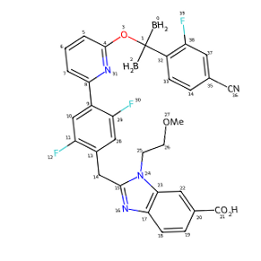 BC(B)(Oc1cccc(-c2cc(F)c(Cc3nc4ccc(C(=O)O)cc4n3CCOC)cc2F)n1)c1ccc(C#N)cc1F